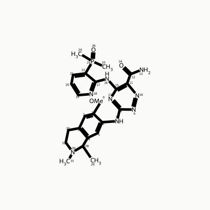 COc1cc2c(cc1Nc1nnc(C(N)=O)c(Nc3ncccc3P(C)(C)=O)n1)C(C)N(C)CC2